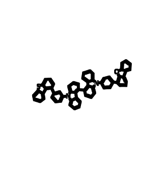 c1cc(-c2cccc3sc4ccccc4c23)cc(-n2c3ccccc3c3c(-c4cccc5c4c4ccccc4n5-c4ccc(-c5cccc6c5oc5ccccc56)cc4)cccc32)c1